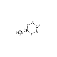 NP1CCOCC1